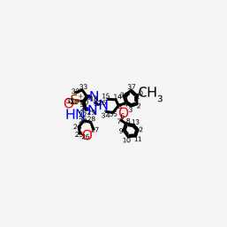 Cc1ccc(C2(OCc3ccccc3)CCN(c3nc4c(c(NC5CCOCC5)n3)[S+]([O-])CC4)CC2)cc1